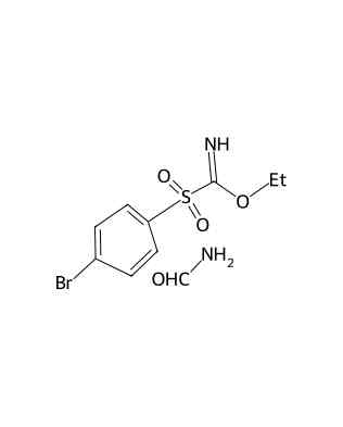 CCOC(=N)S(=O)(=O)c1ccc(Br)cc1.NC=O